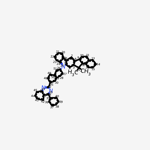 CC1(C)c2cc3c(cc2-c2ccc4ccccc4c21)c1ccccc1n3-c1ccc2cc(-c3nc(-c4ccccc4)c4ccccc4n3)ccc2c1